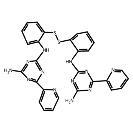 Nc1nc(Nc2ccccc2SSc2ccccc2Nc2nc(N)nc(-c3ccccn3)n2)nc(-c2ccccn2)n1